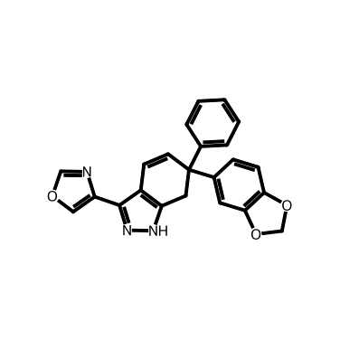 C1=CC(c2ccccc2)(c2ccc3c(c2)OCO3)Cc2[nH]nc(-c3cocn3)c21